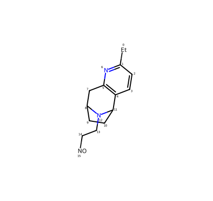 CCc1ccc2c(n1)CC1CCC2N1CCN=O